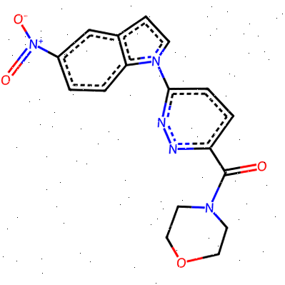 O=C(c1ccc(-n2ccc3cc([N+](=O)[O-])ccc32)nn1)N1CCOCC1